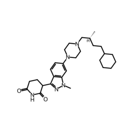 C[C@H](CCC1CCCCC1)CN1CCN(c2ccc3c(C4CCC(=O)NC4=O)nn(C)c3c2)CC1